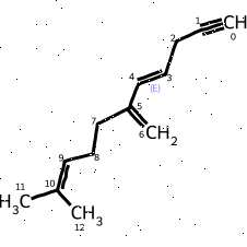 C#CC/C=C/C(=C)CCC=C(C)C